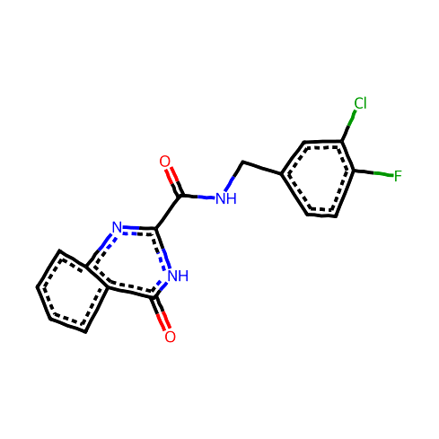 O=C(NCc1ccc(F)c(Cl)c1)c1nc2ccccc2c(=O)[nH]1